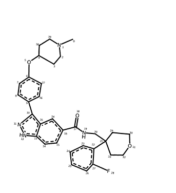 CN1CCC(Oc2ccc(-c3n[nH]c4ccc(C(=O)NCC5(c6ccccc6F)CCOCC5)cc34)cc2)CC1